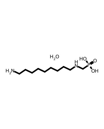 NCCCCCCCCCNCP(=O)(O)O.O